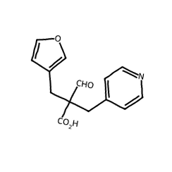 O=CC(Cc1ccncc1)(Cc1ccoc1)C(=O)O